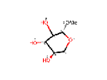 CO[C@@H]1OC[C@@H](O)[C@H](O)C1O